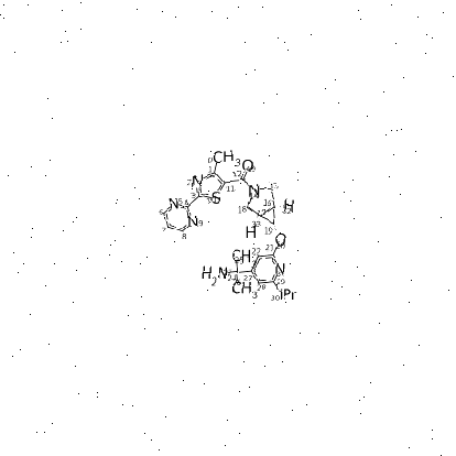 Cc1nc(-c2ncccn2)sc1C(=O)N1C[C@@H]2[C@H](C1)[C@H]2Oc1cc(C(C)(C)N)cc(C(C)C)n1